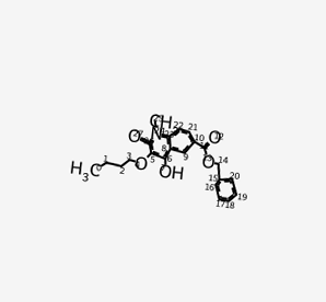 CCCCOc1c(O)c2cc(C(=O)OCc3ccccc3)ccc2n(C)c1=O